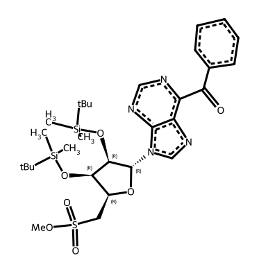 COS(=O)(=O)C[C@@H]1O[C@@H](n2cnc3c(C(=O)c4ccccc4)ncnc32)[C@H](O[Si](C)(C)C(C)(C)C)[C@@H]1O[Si](C)(C)C(C)(C)C